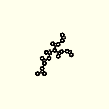 c1ccc(-n2c3ccccc3c3cc(-c4ccc5c(c4)c4ccccc4n5-c4cccc(-c5nc(-c6cc(-n7c8ccccc8c8cc(-c9ccc%10oc%11ccccc%11c%10c9)ccc87)cc(-n7c8ccccc8c8cc(-c9ccc%10oc%11ccccc%11c%10c9)ccc87)c6)nc6ccccc56)c4)ccc32)cc1